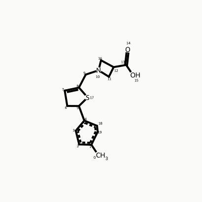 Cc1ccc(C2CC=C(CN3CC(C(=O)O)C3)S2)cc1